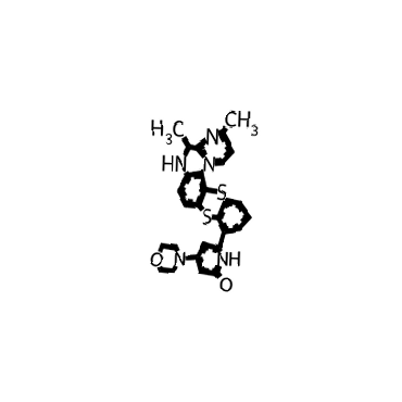 Cc1ccnc(C(C)Nc2ccc3c(c2)Sc2cccc(-c4cc(N5CCOCC5)cc(=O)[nH]4)c2S3)n1